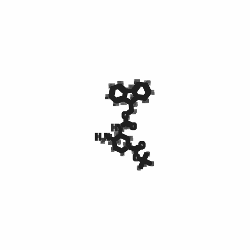 CC(C)(C)OC(=O)N1CC[C@@H](N)[C@@H](NC(=O)OCC2c3ccccc3-c3ccccc32)C1